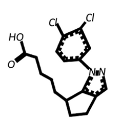 O=C(O)CCCCC1CCc2cnn(-c3ccc(Cl)c(Cl)c3)c21